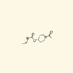 [CH2]CN(C)C(=O)OC1CCN(C(C)=O)CC1